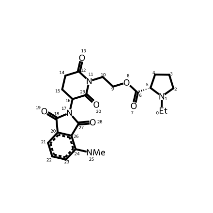 CCN1CCC[C@H]1C(=O)OCCN1C(=O)CCC(N2C(=O)c3cccc(NC)c3C2=O)C1=O